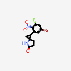 O=C1CCC2(CC2c2cc(Br)cc(F)c2[N+](=O)[O-])N1